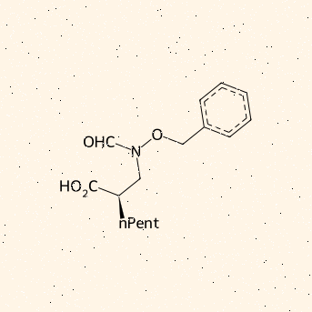 CCCCC[C@H](CN(C=O)OCc1ccccc1)C(=O)O